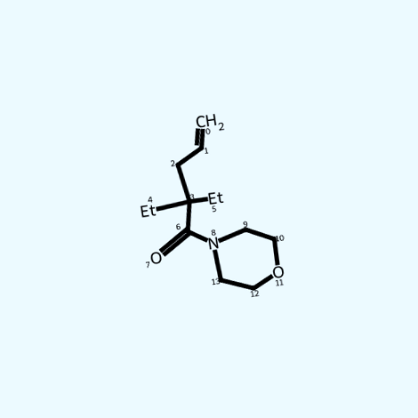 C=CCC(CC)(CC)C(=O)N1CCOCC1